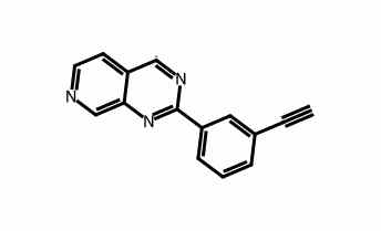 C#Cc1cccc(-c2n[c]c3ccncc3n2)c1